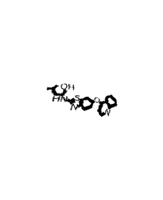 CC(C)CC(CO)Nc1nc2ccc(Oc3ccnc4ccccc34)cc2s1